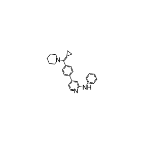 c1ccc(Nc2cc(-c3ccc(C(=C4CC4)N4CCCCC4)cc3)ccn2)cc1